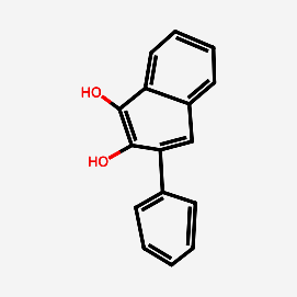 Oc1c(-c2ccccc2)cc2ccccc2c1O